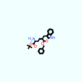 CC(C)(C)OC(=O)C(N)CC=C(Cc1c[nH]c2ccccc12)C(=O)OCc1ccccc1